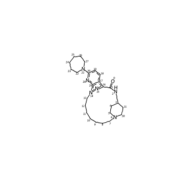 O=C1NC2CCN(CCCCCCCn3nc1c1ccc(N4CCCCCC4)nc13)CC2